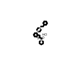 Cl.O=C(c1cc2c(N3CCN(CCc4ccccc4)CC3)cccc2s1)N1CCCCC1